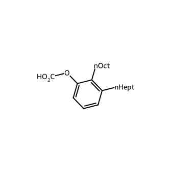 CCCCCCCCc1c(CCCCCCC)cccc1OC(=O)O